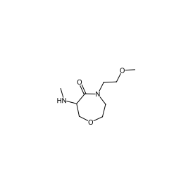 CNC1COCCN(CCOC)C1=O